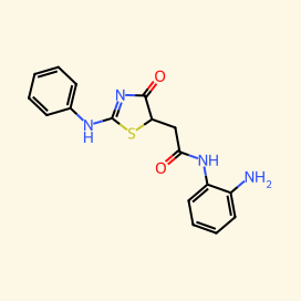 Nc1ccccc1NC(=O)CC1SC(Nc2ccccc2)=NC1=O